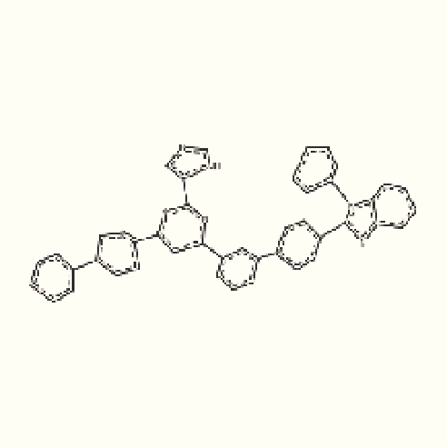 c1ccc(-c2ccc(-c3cc(-c4cccc(-c5ccc(-c6nc7ccccc7n6-c6ccccc6)cc5)c4)nc(-c4cnc[nH]4)n3)cc2)cc1